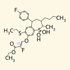 CCCCC1CC(c2ccc(F)cc2)c2cc(SCC)c(O/C=C(\F)C(=O)OCC)cc2S(O)(O)C1C